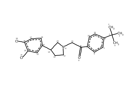 CC(C)(C)c1ccc(C(=O)CN2CCC(c3ccc(Cl)c(Cl)c3)C2)cc1